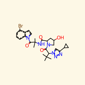 CC(C)(NC(=O)C1CC(O)CN1C(=O)C(n1cc(C2CC2)nn1)C(C)(C)C)C(=O)n1ccc2c(Br)cccc21